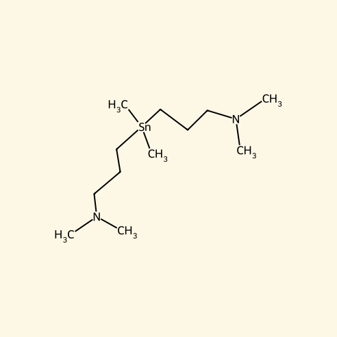 CN(C)CC[CH2][Sn]([CH3])([CH3])[CH2]CCN(C)C